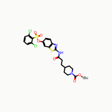 CC(C)(C)OC(=O)N1CCC(CCC(=O)Nc2nc3ccc(OS(=O)(=O)c4c(Cl)cccc4Cl)cc3s2)CC1